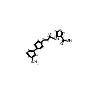 Nc1cccc(-c2ccc(CCC(=O)Nc3cscc3C(=O)O)cc2)c1